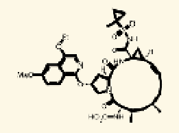 CCOc1cnc(O[C@@H]2C[C@H]3C(=O)N[C@]4(C(=O)NS(=O)(=O)C5(C)CC5)C[C@H]4/C=C\CC[C@@H](C)C[C@@H](C)[C@H](NC(=O)O)C(=O)N3C2)c2ccc(OC)cc12